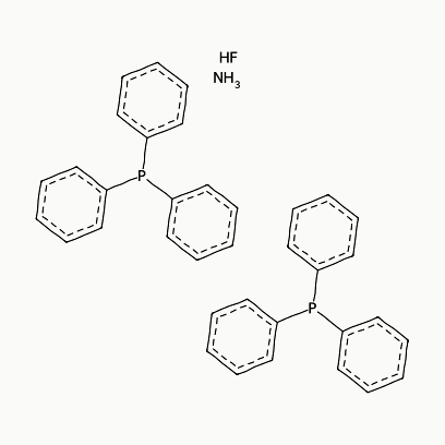 F.N.c1ccc(P(c2ccccc2)c2ccccc2)cc1.c1ccc(P(c2ccccc2)c2ccccc2)cc1